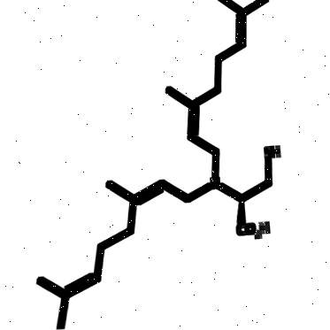 CC(C)=CCCC(C)=CCN(CC=C(C)CCC=C(C)C)[C@@H](CS)C(=O)O